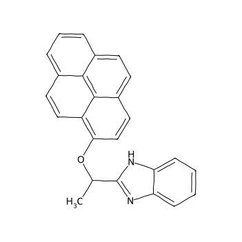 CC(Oc1ccc2ccc3cccc4ccc1c2c34)c1nc2ccccc2[nH]1